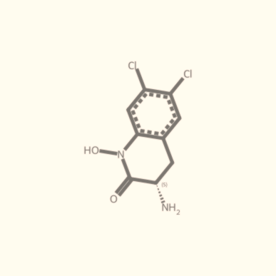 N[C@H]1Cc2cc(Cl)c(Cl)cc2N(O)C1=O